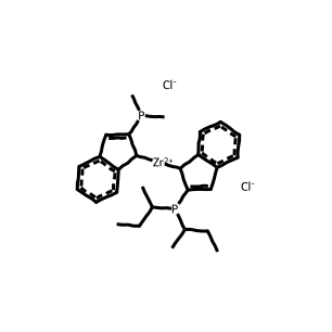 CCC(C)P(C1=Cc2ccccc2[CH]1[Zr+2][CH]1C(P(C)C)=Cc2ccccc21)C(C)CC.[Cl-].[Cl-]